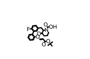 CC(C)(C)OC(=O)C=COc1ccccc1-c1cc(CC2C(=O)CCCN2C(=O)O)ccc1F